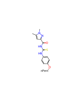 CCCCCOc1ccc(NC(=S)NC(=O)c2cc(C)n(C)n2)cc1